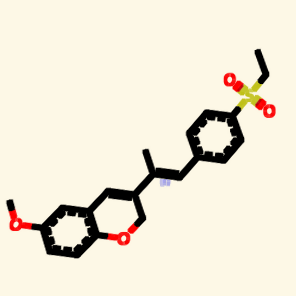 CCS(=O)(=O)c1ccc(/C=C(\C)C2=Cc3cc(OC)ccc3OC2)cc1